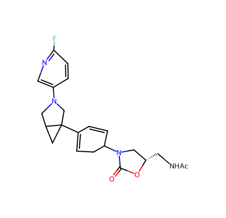 CC(=O)NC[C@H]1CN(C2C=CC(C34CC3CN(c3ccc(F)nc3)C4)=CC2)C(=O)O1